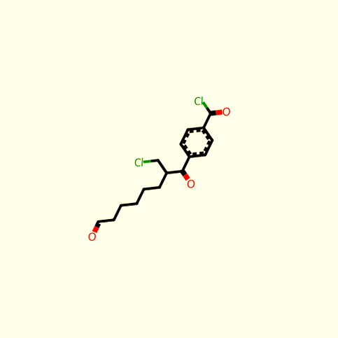 O=CCCCCCC(CCl)C(=O)c1ccc(C(=O)Cl)cc1